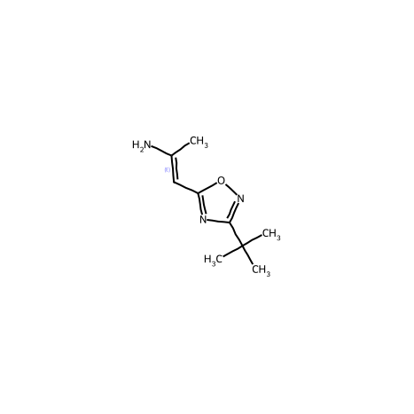 C/C(N)=C\c1nc(C(C)(C)C)no1